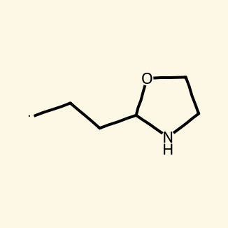 [CH2]CCC1NCCO1